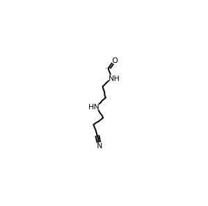 N#CCCNCCN[C]=O